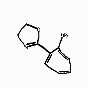 CCCc1ccccc1C1=NCCO1